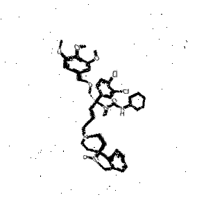 COc1cc(COC[C@](CCCN2CCC3(CC2)c2ccccc2C[S+]3[O-])(c2ccc(Cl)c(Cl)c2)N(C)C(=O)NC2CCCCC2)cc(OC)c1OC